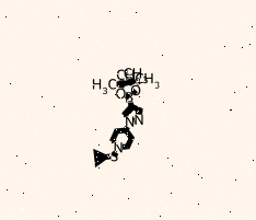 CC1(C)OB(c2cnn(C3CCN(SC4CC4)CC3)c2)OC1(C)C